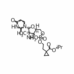 CC(C)OC(=O)C1(CCO[P@]2(=O)OC[C@H]3O[C@@H](n4ccc(=O)[nH]c4=O)[C@](C)(N)[C@@H]3O2)CC1